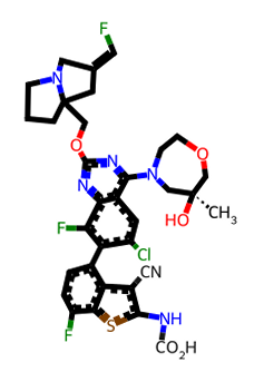 C[C@@]1(O)COCCN(c2nc(OCC34CCCN3C/C(=C\F)C4)nc3c(F)c(-c4ccc(F)c5sc(NC(=O)O)c(C#N)c45)c(Cl)cc23)C1